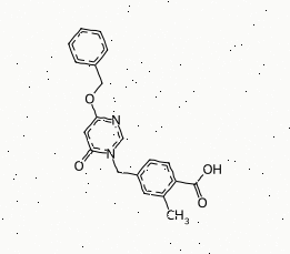 Cc1cc(Cn2cnc(OCc3ccccc3)cc2=O)ccc1C(=O)O